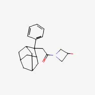 O=C(CC1(c2ccccc2)C2CC3CC(C2)CC1C3)N1CC(O)C1